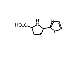 O=C(O)C1CSC(c2ncco2)N1